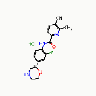 Cc1nc(C(=O)Nc2ccc([C@H]3CNCCO3)cc2F)ccc1C#N.Cl